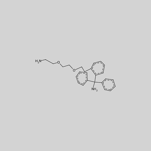 NCCOCCOCCc1ccccc1C(N)(c1ccccc1)c1ccccc1